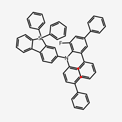 Fc1cc(-c2ccccc2)cc(-c2ccccc2)c1N(c1ccc(-c2ccccc2)cc1)c1ccc2c(c1)[Si](c1ccccc1)(c1ccccc1)c1ccccc1-2